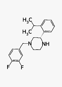 CC(C)c1ccccc1[C@H]1CN(Cc2ccc(F)c(F)c2)CCN1